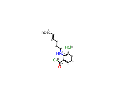 CCCCCCCCCCC=CCCCNc1ccccc1C(=O)Cl.Cl